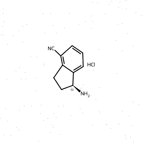 Cl.N#Cc1cccc2c1CC[C@@H]2N